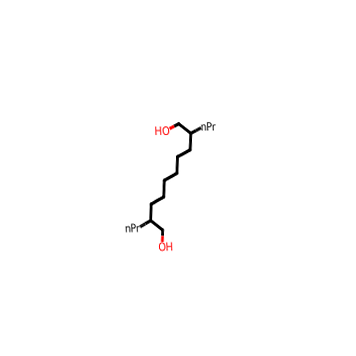 CCCC(CO)CCCCCCC(CO)CCC